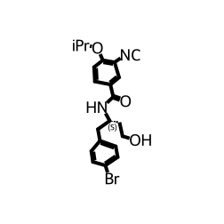 [C-]#[N+]c1cc(C(=O)N[C@H](CCO)Cc2ccc(Br)cc2)ccc1OC(C)C